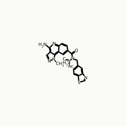 CC(=O)N(C)N(Cc1ccc2scnc2c1)C(=O)c1ccc2nc(N)c3cnn(C)c3c2c1